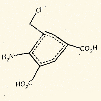 Nc1c(CCl)cc(C(=O)O)cc1C(=O)O